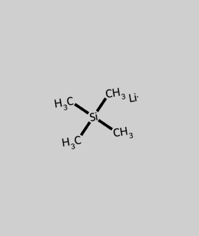 C[Si](C)(C)C.[Li]